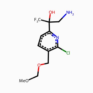 COCOCc1ccc(C(O)(CN)C(F)(F)F)nc1Cl